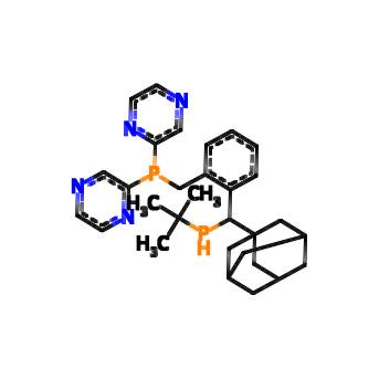 CC(C)(C)PC(c1ccccc1CP(c1cnccn1)c1cnccn1)C12CC3CC(CC(C3)C1)C2